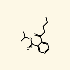 CCCCC(=O)c1ccccc1[PH](=O)OC(C)C